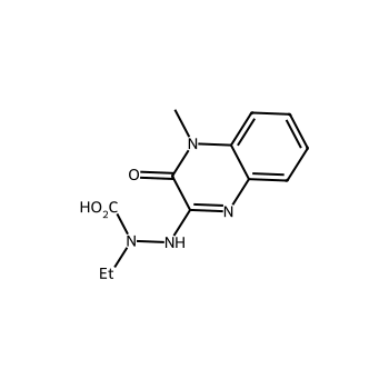 CCN(Nc1nc2ccccc2n(C)c1=O)C(=O)O